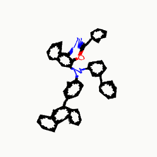 c1ccc(-c2cccc(N(c3ccc(-c4cc5ccccc5c5ccccc45)cc3)c3cc4ccccc4c4nc(-c5ccccc5)oc34)c2)cc1